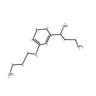 NCCC(O)C1=CC(OCCCO)=CCC1